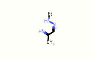 CCN/N=C\C(C)=N